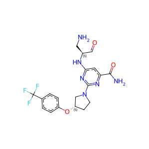 NC[C@@H](C=O)Nc1cc(C(N)=O)nc(N2CC[C@H](Oc3ccc(C(F)(F)F)cc3)C2)n1